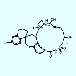 C[C@H]1C(O)C/C=C/[C@H](O)[C@@H]2CC[C@H]2CN2C[C@@]3(CCCc4cc(Cl)ccc43)COc3ccc(cc32)C(=O)NS1(=O)=O